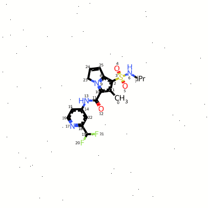 Cc1c(S(=O)(=O)NC(C)C)c2n(c1C(=O)Nc1ccnc(C(F)F)c1)CC=C2